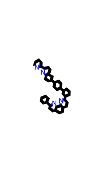 c1ccc(-c2ccc3ccc4ccc(-c5cccc(-c6ccc(-c7ccc8nc(-c9ccccn9)ccc8c7)cc6)c5)nc4c3n2)cc1